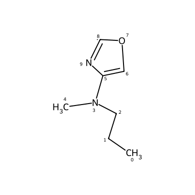 CCCN(C)c1co[c]n1